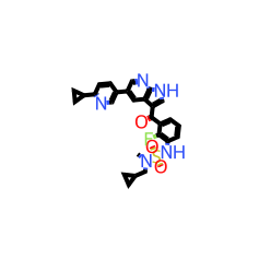 CN(CC1CC1)S(=O)(=O)Nc1cccc(C(=O)c2c[nH]c3ncc(-c4ccc(C5CC5)nc4)cc23)c1F